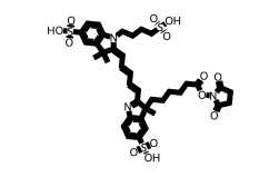 CC1(CCCCCC(=O)ON2C(=O)CCC2=O)C(/C=C/C=C/C=C2/N(CCCCS(=O)(=O)O)c3ccc(S(=O)(=O)O)cc3C2(C)C)=Nc2ccc(S(=O)(=O)O)cc21